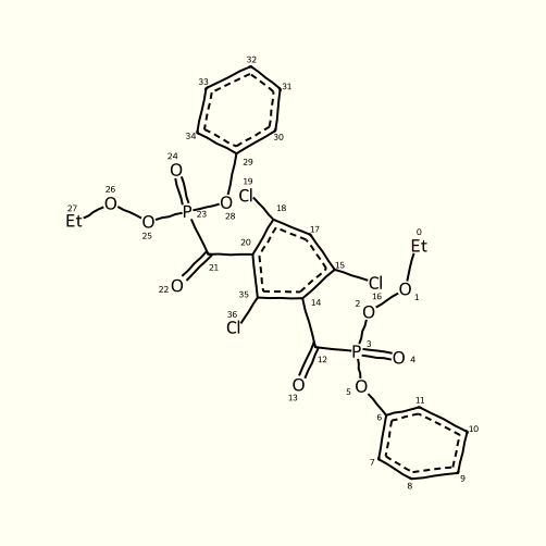 CCOOP(=O)(Oc1ccccc1)C(=O)c1c(Cl)cc(Cl)c(C(=O)P(=O)(OOCC)Oc2ccccc2)c1Cl